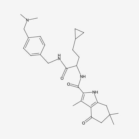 Cc1c(C(=O)NC(CCC2CC2)C(=O)NCc2ccc(CN(C)C)cc2)[nH]c2c1C(=O)CC(C)(C)C2